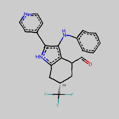 O=CC1C[C@H](C(F)(F)F)Cc2[nH]c(-c3ccncc3)c(Nc3ccccc3)c21